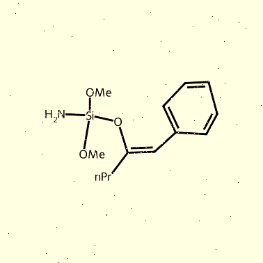 CCCC(=Cc1ccccc1)O[Si](N)(OC)OC